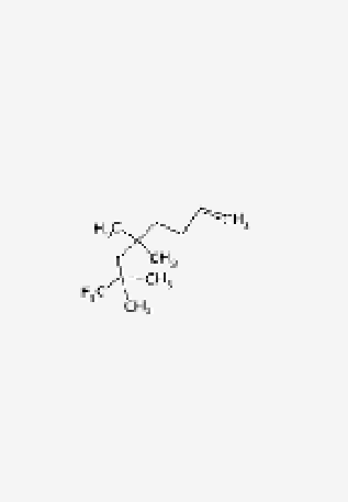 C=CCCC(C)(C)CC(C)(C)C(F)(F)F